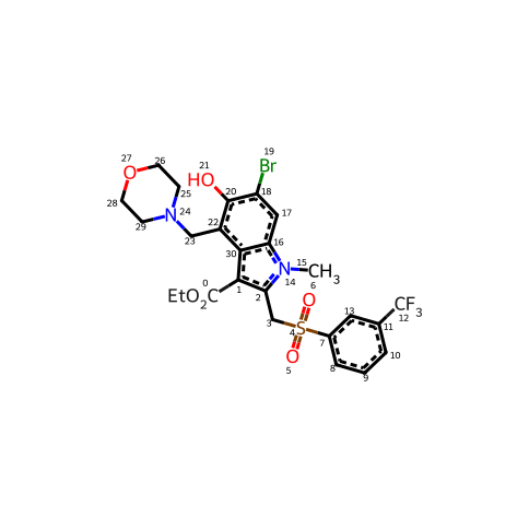 CCOC(=O)c1c(CS(=O)(=O)c2cccc(C(F)(F)F)c2)n(C)c2cc(Br)c(O)c(CN3CCOCC3)c12